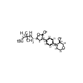 CC(C)(C)CC(C)(C)NC[C@H]1CN(c2ccc(N3CCOCC3=O)cc2)C(=O)O1